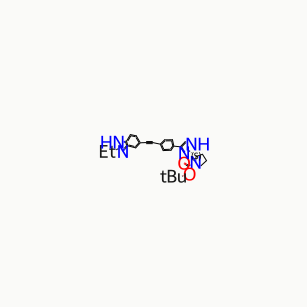 CCc1nc2cc(C#Cc3ccc(-c4c[nH]c([C@@H]5CCCN5C(=O)OC(C)(C)C)n4)cc3)ccc2[nH]1